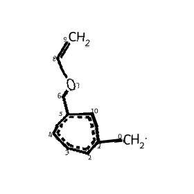 [CH2]c1cccc(COC=C)c1